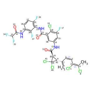 C=C(/C=C\C(Cl)=C(/C)Cl)[C@H]1[C@H](C(=O)Nc2cc(F)c(Cl)c(C(=O)Nc3c(F)ccc(NC(=O)C(F)F)c3F)c2)C1(Cl)Cl